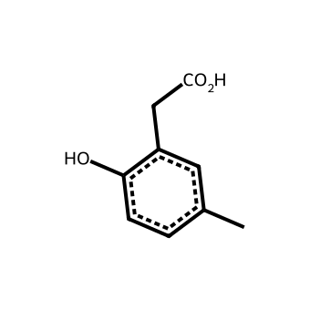 Cc1ccc(O)c(CC(=O)O)c1